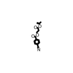 C=C(C)OC(=O)CCOC(=O)c1ccc(C#N)cc1